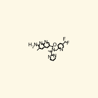 Cc1cc2cc(C(=O)N(Cc3ccc(C(F)F)cn3)[C@H](C)c3ncccn3)cnc2nc1N